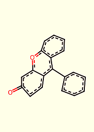 O=c1ccc2c(-c3ccccc3)c3ccccc3oc-2c1